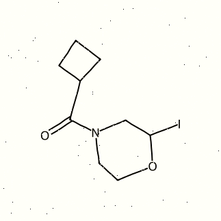 O=C(C1CCC1)N1CCOC(I)C1